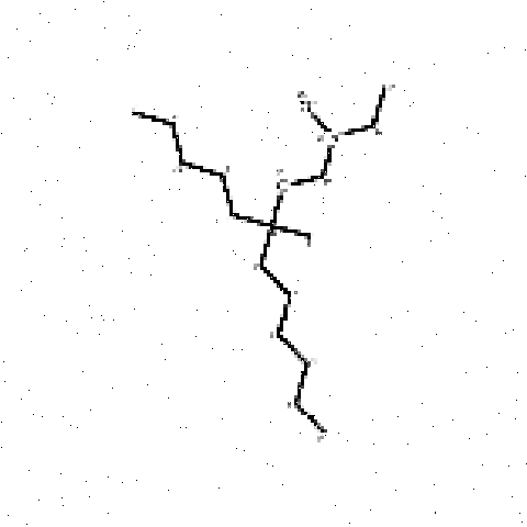 CCCCCCC(C)(CCCCC)OC[S+]([O-])CC